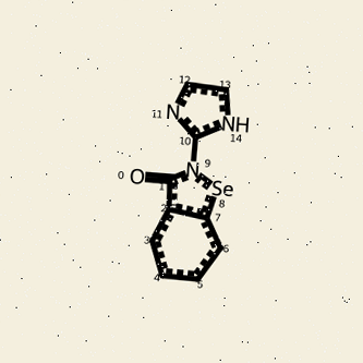 O=c1c2ccccc2[se]n1-c1ncc[nH]1